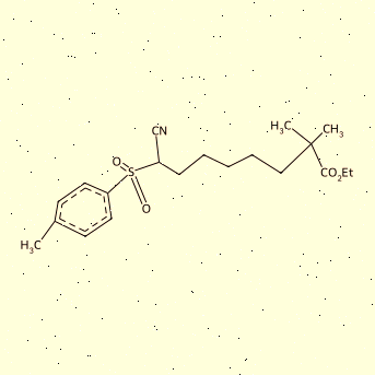 CCOC(=O)C(C)(C)CCCCCC(C#N)S(=O)(=O)c1ccc(C)cc1